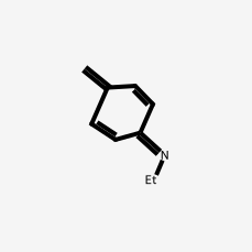 C=C1C=CC(=NCC)C=C1